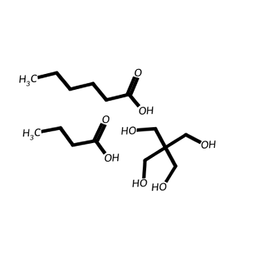 CCCC(=O)O.CCCCCC(=O)O.OCC(CO)(CO)CO